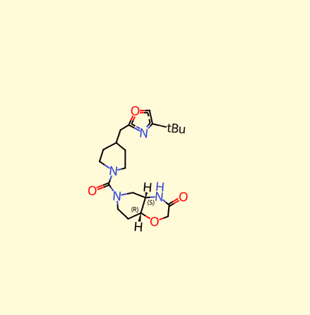 CC(C)(C)c1coc(CC2CCN(C(=O)N3CC[C@H]4OCC(=O)N[C@H]4C3)CC2)n1